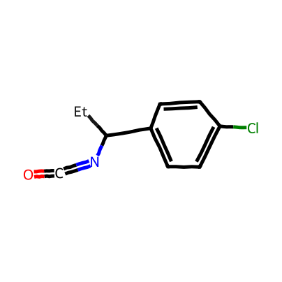 CCC(N=C=O)c1ccc(Cl)cc1